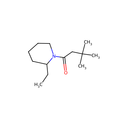 CCC1CCCCN1C(=O)CC(C)(C)C